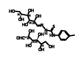 Cc1ccc(NC(=S)NN=C[C@H](O)[C@@H](O)[C@H](O)[C@H](O)CO)cc1.O=C[C@H](O)[C@@H](O)[C@H](O)[C@H](O)CO